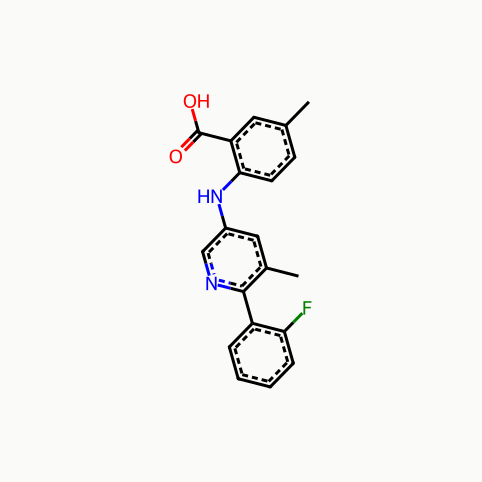 Cc1ccc(Nc2cnc(-c3ccccc3F)c(C)c2)c(C(=O)O)c1